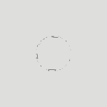 [C]1=CC=CCCCCCC=CCC=C1